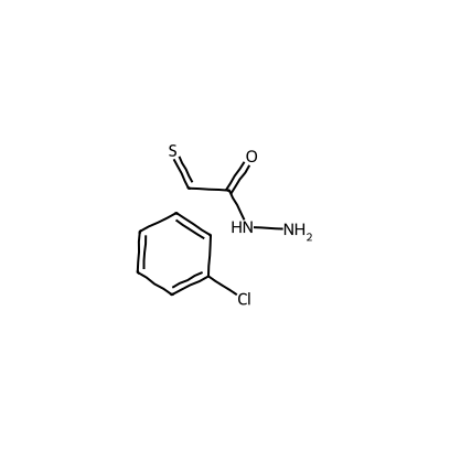 Clc1ccccc1.NNC(=O)C=S